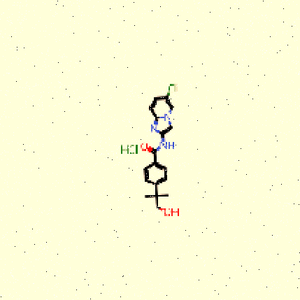 CC(C)(CO)c1ccc(C(=O)Nc2cn3cc(Cl)ccc3n2)cc1.Cl